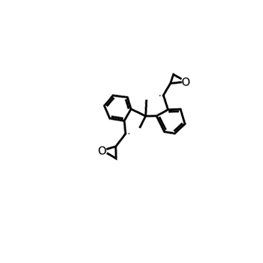 CC(C)(c1ccccc1[CH]C1CO1)c1ccccc1[CH]C1CO1